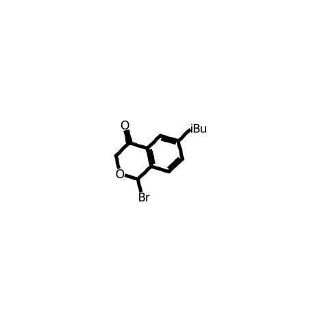 CCC(C)c1ccc2c(c1)C(=O)COC2Br